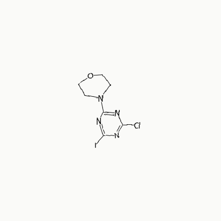 Clc1nc(I)nc(N2CCOCC2)n1